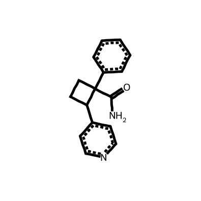 NC(=O)C1(c2ccccc2)CCC1c1ccncc1